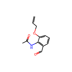 C=CCOc1cccc(C=O)c1NC(C)=O